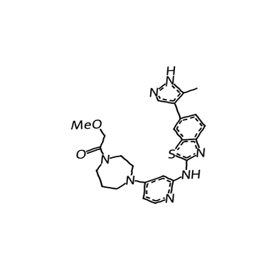 COCC(=O)N1CCCN(c2ccnc(Nc3nc4ccc(-c5cn[nH]c5C)cc4s3)c2)CC1